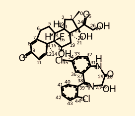 C[C@@H]1C[C@H]2[C@@H]3CCC4=CC(=O)C=C[C@]4(C)[C@@]3(F)[C@@H](O)C[C@]2(C)[C@@]1(O)C(=O)CO.O=C1Nc2ccc(Cl)cc2C(c2ccccc2Cl)=NC1O